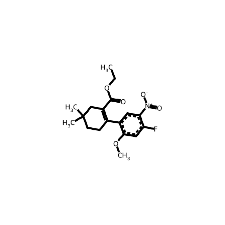 CCOC(=O)C1=C(c2cc([N+](=O)[O-])c(F)cc2OC)CCC(C)(C)C1